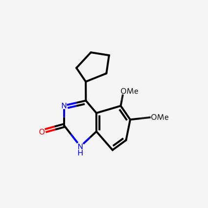 COc1ccc2[nH]c(=O)nc(C3CCCC3)c2c1OC